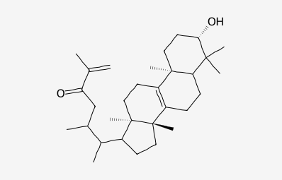 C=C(C)C(=O)CC(C)C(C)C1CC[C@@]2(C)C3=C(CC[C@]12C)[C@@]1(C)CC[C@H](O)C(C)(C)C1CC3